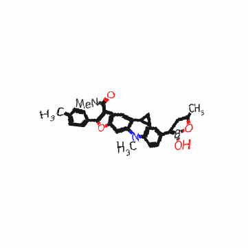 CNC(=O)c1c(-c2ccc(C)cc2)oc2cc(N(C)c3ccc(C4CC(C)OB4O)cc3)c(C3CC3)cc12